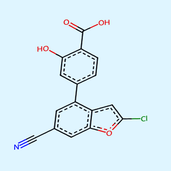 N#Cc1cc(-c2ccc(C(=O)O)c(O)c2)c2cc(Cl)oc2c1